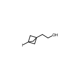 OCCC12CC(I)(C1)C2